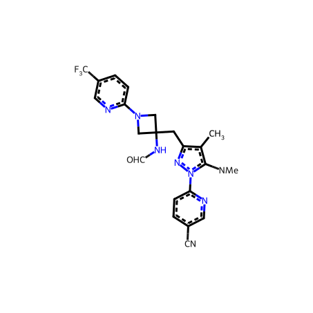 CNc1c(C)c(CC2(NC=O)CN(c3ccc(C(F)(F)F)cn3)C2)nn1-c1ccc(C#N)cn1